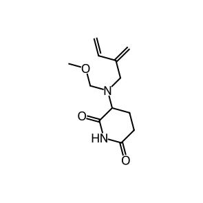 C=CC(=C)CN(COC)C1CCC(=O)NC1=O